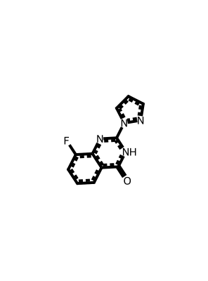 O=c1[nH]c(-n2cccn2)nc2c(F)cccc12